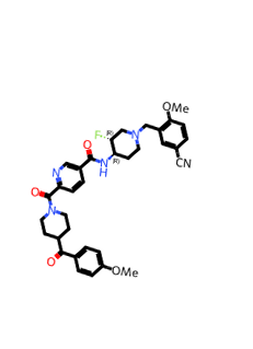 COc1ccc(C(=O)C2CCN(C(=O)c3ccc(C(=O)N[C@@H]4CCN(Cc5cc(C#N)ccc5OC)C[C@H]4F)cn3)CC2)cc1